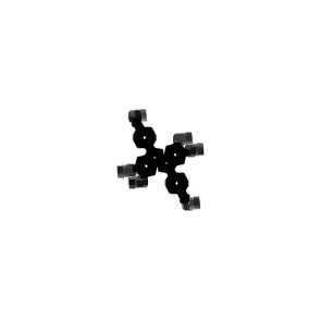 C#Cc1ccc(C2=CC3(C=C(c4ccc(C#C)cc4)c4cc(O)c(O)cc43)c3cc(O)c(O)cc32)cc1